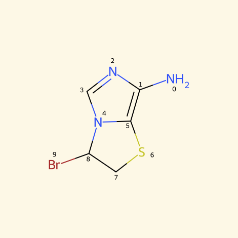 Nc1ncn2c1SCC2Br